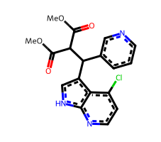 COC(=O)C(C(=O)OC)C(c1cccnc1)c1c[nH]c2nccc(Cl)c12